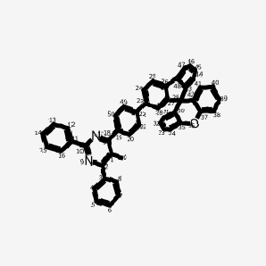 Cc1c(-c2ccccc2)nc(-c2ccccc2)nc1-c1ccc(-c2ccc3c(c2)C2(c4ccccc4Oc4ccccc42)c2ccccc2-3)cc1